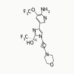 Nc1ncc(-c2cn(C34CC(N5CCOCC5)(C3)C4)c([C@H](O)C(F)(F)F)n2)cc1OC(F)(F)F